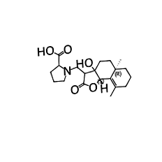 CC1=C2[C@@H]3OC(=O)C(CN4CCCC4C(=O)O)C3(O)CC[C@@]2(C)CCC1